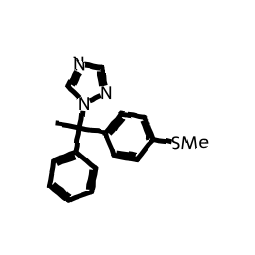 CSc1ccc(C(C)(c2ccccc2)n2cncn2)cc1